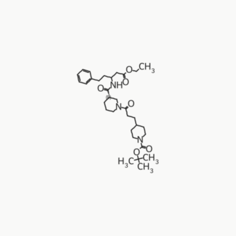 CCOC(=O)CC(CCc1ccccc1)NC(=O)[C@@H]1CCCN(C(=O)CCC2CCN(C(=O)OC(C)(C)C)CC2)C1